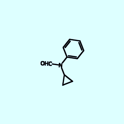 O=CN(c1ccccc1)C1CC1